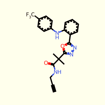 C#CCNC(=O)C(C)(C)c1nnc(-c2ccccc2Nc2ccc(C(F)(F)F)cc2)o1